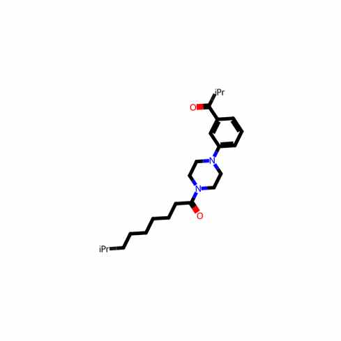 CC(C)CCCCCCC(=O)N1CCN(c2cccc(C(=O)C(C)C)c2)CC1